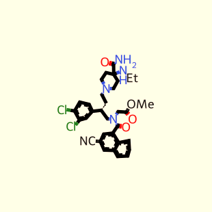 CCNC1(C(N)=O)CCN(CC[C@H](CN(CC(=O)OC)C(=O)c2cc(C#N)cc3ccccc23)c2ccc(Cl)c(Cl)c2)CC1